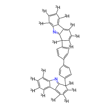 [2H]C1=C2C(=Nc3c([2H])c([2H])c([2H])c([2H])c32)C([2H])(c2ccc(-c3ccc(C4([2H])C5=Nc6c([2H])c([2H])c([2H])c([2H])c6C5=C([2H])C([2H])=C4[2H])cc3)cc2)C([2H])=C1[2H]